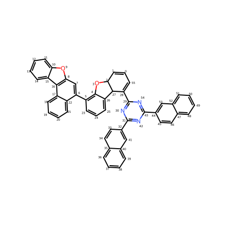 C1=CC2Oc3c(-c4cc5oc6ccccc6c5c5ccccc45)cccc3C2C(c2nc(-c3ccc4ccccc4c3)nc(-c3ccc4ccccc4c3)n2)=C1